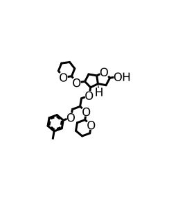 Cc1cccc(OCC(COC2C(OC3CCCCO3)CC3OC(O)C[C@H]32)OC2CCCCO2)c1